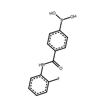 O=C(Nc1ccccc1F)c1ccc(B(O)O)cc1